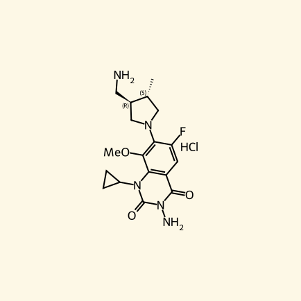 COc1c(N2C[C@@H](CN)[C@H](C)C2)c(F)cc2c(=O)n(N)c(=O)n(C3CC3)c12.Cl